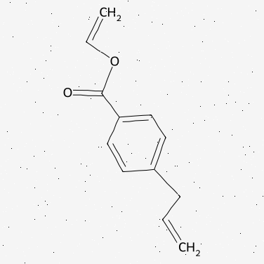 C=CCc1ccc(C(=O)OC=C)cc1